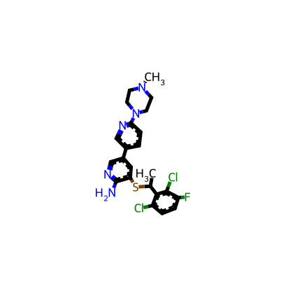 CC(Sc1cc(-c2ccc(N3CCN(C)CC3)nc2)cnc1N)c1c(Cl)ccc(F)c1Cl